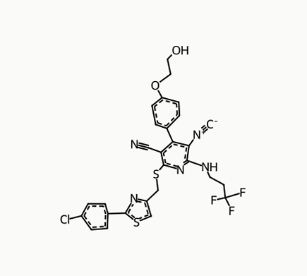 [C-]#[N+]c1c(NCCC(F)(F)F)nc(SCc2csc(-c3ccc(Cl)cc3)n2)c(C#N)c1-c1ccc(OCCO)cc1